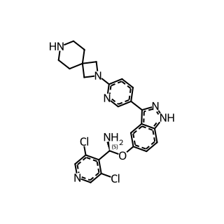 N[C@@H](Oc1ccc2[nH]nc(-c3ccc(N4CC5(CCNCC5)C4)nc3)c2c1)c1c(Cl)cncc1Cl